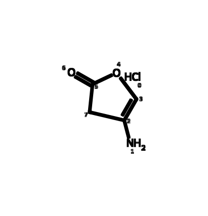 Cl.NC1=COC(=O)C1